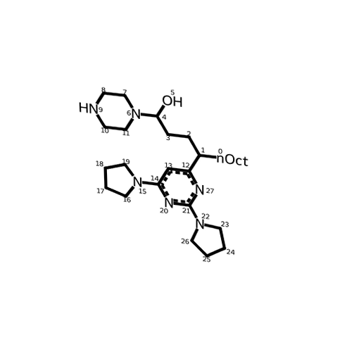 CCCCCCCCC(CCC(O)N1CCNCC1)c1cc(N2CCCC2)nc(N2CCCC2)n1